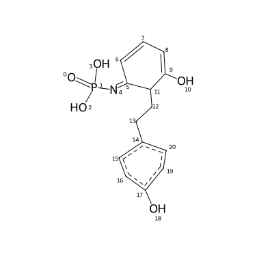 O=P(O)(O)N=C1C=CC=C(O)C1CCc1ccc(O)cc1